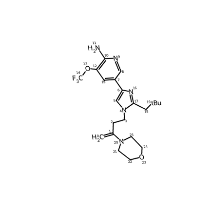 C=C(CCn1cc(-c2cnc(N)c(OC(F)(F)F)c2)nc1CC(C)(C)C)N1CCOCC1